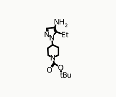 CCc1c(N)cnn1C1CCN(C(=O)OC(C)(C)C)CC1